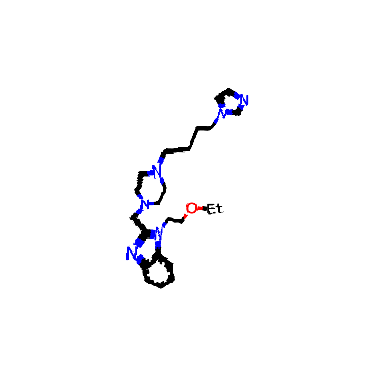 CCOCCn1c(CN2CCN(CCCCn3ccnc3)CC2)nc2ccccc21